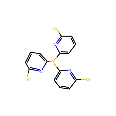 Sc1cccc(P(c2cccc(S)n2)c2cccc(S)n2)n1